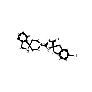 O=C1N=C(N2CCC3(CC2)OCc2ccccc23)OC12Cc1ccc(Cl)cc1C2